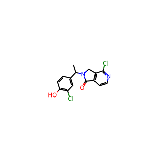 CC(c1ccc(O)c(Cl)c1)N1Cc2c(ccnc2Cl)C1=O